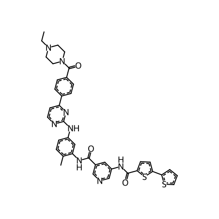 CCN1CCN(C(=O)c2ccc(-c3ccnc(Nc4ccc(C)c(NC(=O)c5cncc(NC(=O)c6ccc(-c7cccs7)s6)c5)c4)n3)cc2)CC1